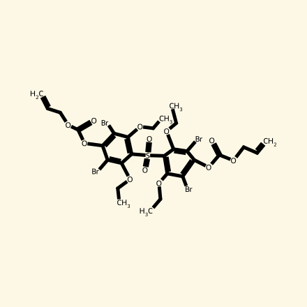 C=CCOC(=O)Oc1c(Br)c(OCC)c(S(=O)(=O)c2c(OCC)c(Br)c(OC(=O)OCC=C)c(Br)c2OCC)c(OCC)c1Br